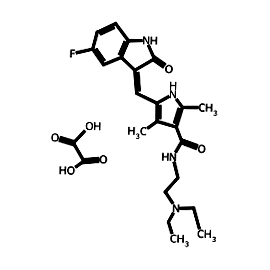 CCN(CC)CCNC(=O)c1c(C)[nH]c(C=C2C(=O)Nc3ccc(F)cc32)c1C.O=C(O)C(=O)O